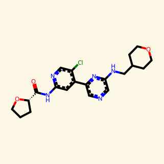 O=C(Nc1cc(-c2cncc(NCC3CCOCC3)n2)c(Cl)cn1)[C@@H]1CCCO1